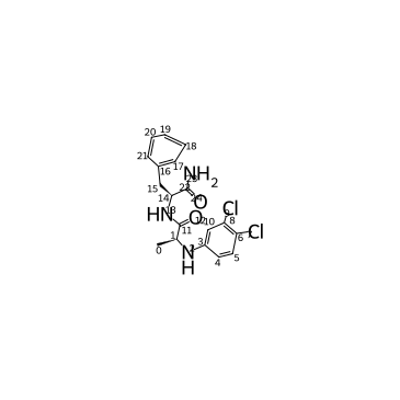 C[C@H](Nc1ccc(Cl)c(Cl)c1)C(=O)N[C@@H](Cc1ccccc1)C(N)=O